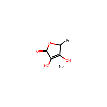 CC(C)C1OC(=O)C(O)=C1O.[Na]